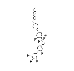 CCOCOCC1CCC(c2cc(F)c(C(F)(F)Oc3ccc(-c4cc(F)c(F)c(F)c4)c(F)c3)c(F)c2)CC1